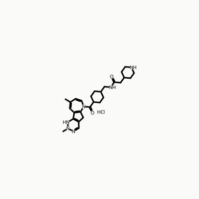 CC1=CC2=C(CC3=C2NN(C)N=C3)N(C(=O)C2CCC(CNC(=O)CC3CCNCC3)CC2)C=C1.Cl